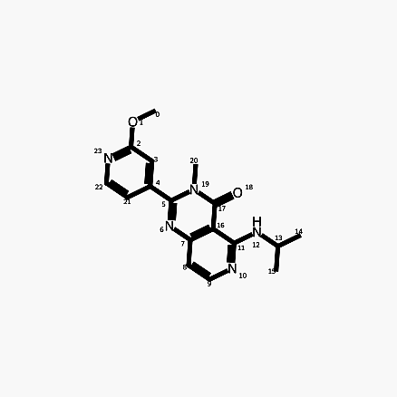 COc1cc(-c2nc3ccnc(NC(C)C)c3c(=O)n2C)ccn1